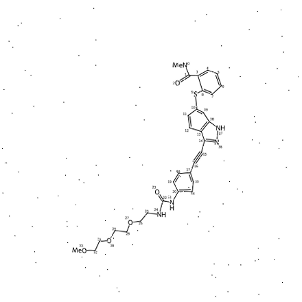 CNC(=O)c1ccccc1Sc1ccc2c(C#Cc3ccc(NC(=O)NCCOCCOCCOC)cc3)n[nH]c2c1